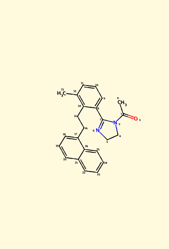 CC(=O)N1CCN=C1c1cccc(C)c1CCc1cccc2ccccc12